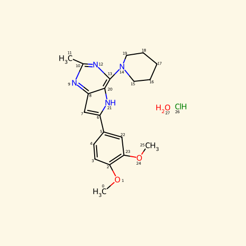 COc1ccc(-c2cc3nc(C)nc(N4CCCCC4)c3[nH]2)cc1OC.Cl.O